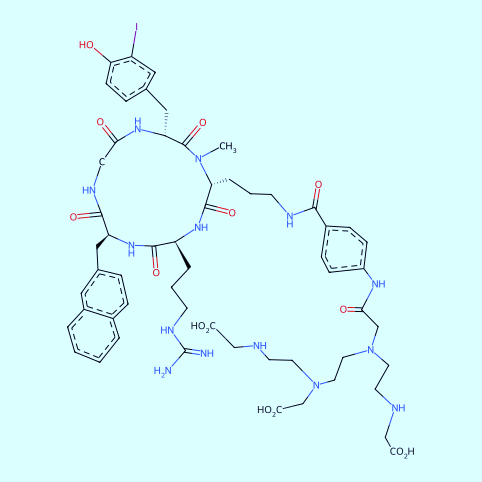 CN1C(=O)[C@@H](Cc2ccc(O)c(I)c2)NC(=O)CNC(=O)[C@H](Cc2ccc3ccccc3c2)NC(=O)[C@H](CCCNC(=N)N)NC(=O)[C@H]1CCCNC(=O)c1ccc(NC(=O)CN(CCNCC(=O)O)CCN(CCNCC(=O)O)CC(=O)O)cc1